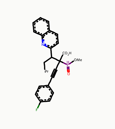 CO[PH](=O)C(C#Cc1ccc(F)cc1)(C(=O)O)C(CC(C)C)c1ccc2ccccc2n1